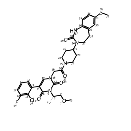 COC[C@H](C)n1c(=O)c(-c2cccc(F)c2Cl)cn(CC(=O)N2CCC(N3CCc4cc(SC)ccc4NC3=O)CC2)c1=O